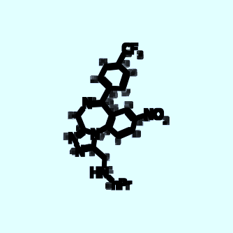 CCCNCc1nnc2n1-c1ccc([N+](=O)[O-])cc1C(c1ccc(C(F)(F)F)cc1)=NC2